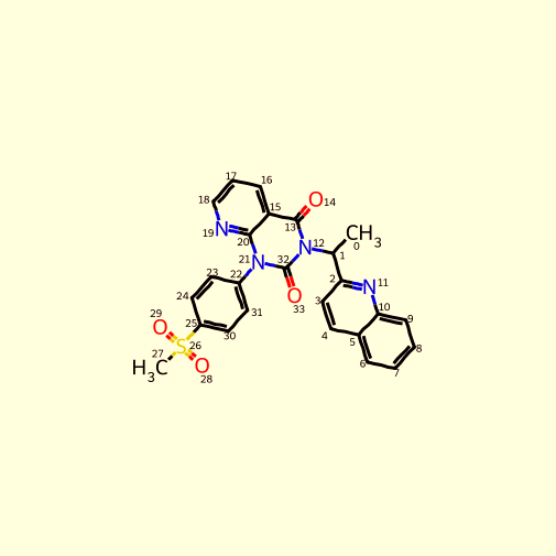 CC(c1ccc2ccccc2n1)n1c(=O)c2cccnc2n(-c2ccc(S(C)(=O)=O)cc2)c1=O